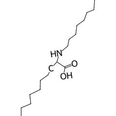 CCCCCCCCNC(CCCCCCCC)C(=O)O